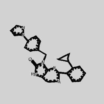 O=c1[nH]c2cnc(-c3ccccc3C3CC3)nc2n1Cc1ccc(-n2cccn2)cc1